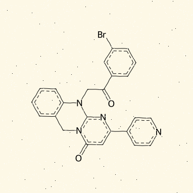 O=C(CN1c2ccccc2Cn2c1nc(-c1ccncc1)cc2=O)c1cccc(Br)c1